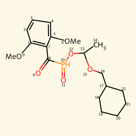 COc1cccc(OC)c1C(=O)[PH](=O)OC(C)OCC1CCCCC1